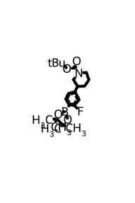 CC(C)(C)OC(=O)N1CCCC(c2ccc(B3OC(C)(C)C(C)(C)O3)c(F)c2)C1